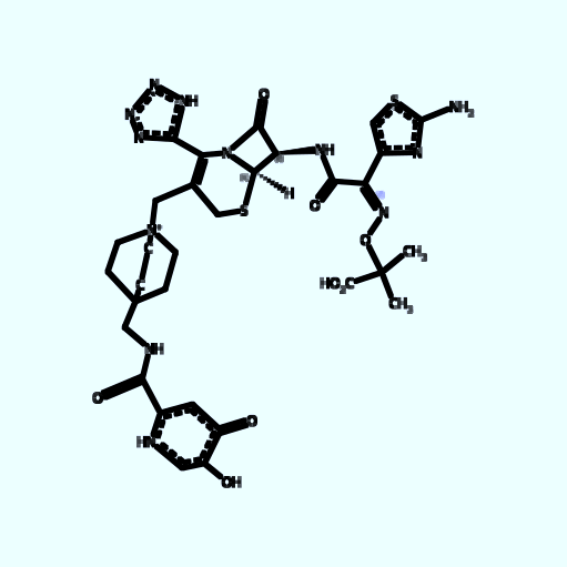 CC(C)(O/N=C(\C(=O)N[C@@H]1C(=O)N2C(c3nnn[nH]3)=C(C[N+]34CCC(CNC(=O)c5cc(=O)c(O)c[nH]5)(CC3)CC4)CS[C@H]12)c1csc(N)n1)C(=O)O